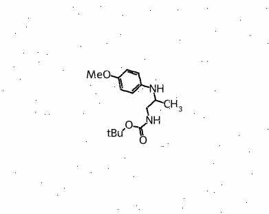 COc1ccc(NC(C)CNC(=O)OC(C)(C)C)cc1